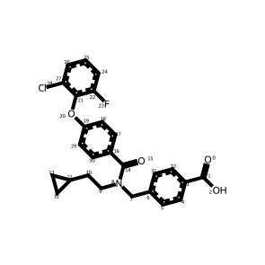 O=C(O)c1ccc(CN(CCC2CC2)C(=O)c2ccc(Oc3c(F)cccc3Cl)cc2)cc1